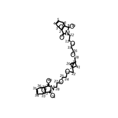 O=C1C2C3C=CC(O3)C2C(=O)N1CCOCCOCC12CC(COCCOCCN3C(=O)C4C5C=CC(O5)C4C3=O)(C1)C2